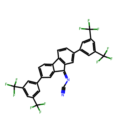 N#CN=C1c2cc(-c3cc(C(F)(F)F)cc(C(F)(F)F)c3)ccc2-c2ccc(-c3cc(C(F)(F)F)cc(C(F)(F)F)c3)cc21